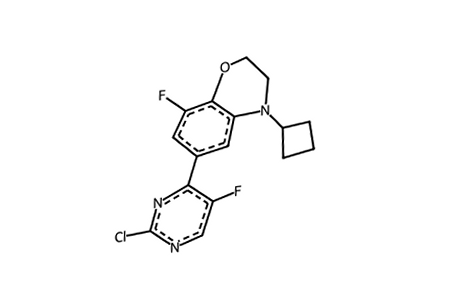 Fc1cnc(Cl)nc1-c1cc(F)c2c(c1)N(C1CCC1)CCO2